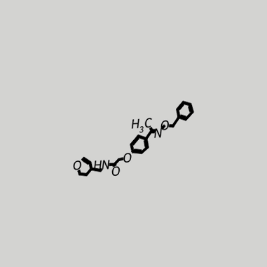 C/C(=N\OCc1ccccc1)c1ccc(OCC(=O)NCC2C=COCC2)cc1